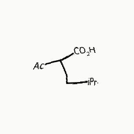 C[C](C)CC(C(C)=O)C(=O)O